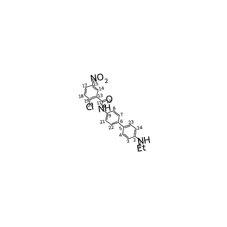 CCNc1ccc(-c2ccc(NC(=O)c3cc([N+](=O)[O-])ccc3Cl)cc2)cc1